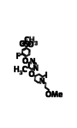 COCCCN1CCC(Oc2ncnc(Oc3ccc(S(C)(=O)=O)cc3F)c2C)CC1I